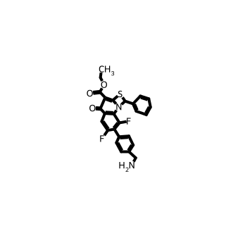 CCOC(=O)c1c2n(c3c(F)c(-c4ccc(CN)cc4)c(F)cc3c1=O)C(c1ccccc1)S2